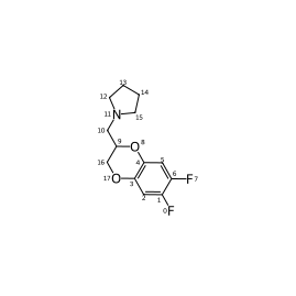 Fc1cc2c(cc1F)OC(CN1CCCC1)CO2